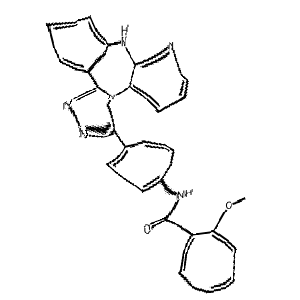 COc1ccccc1C(=O)Nc1ccc(-c2nnc3n2-c2cccnc2Nc2ccccc2-3)cc1